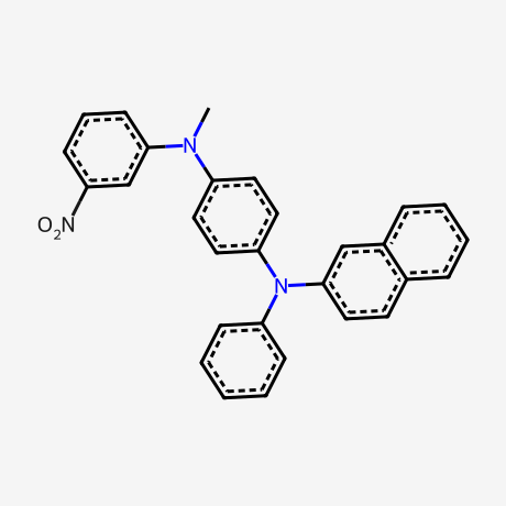 CN(c1ccc(N(c2ccccc2)c2ccc3ccccc3c2)cc1)c1cccc([N+](=O)[O-])c1